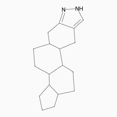 c1[nH]nc2c1CC1C(CCC3C4CCCC4CCC13)C2